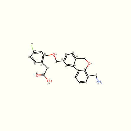 NCc1cccc2c1OCc1ccc(COc3cc(F)ccc3CC(=O)O)cc1-2